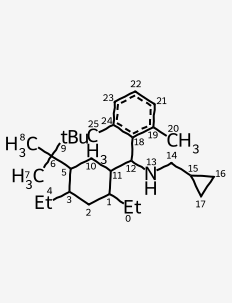 CCC1CC(CC)C(C(C)(C)C(C)(C)C)CC1C(NCC1CC1)c1c(C)cccc1C